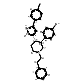 Cc1ccc(-c2cc([C@H]3CCN(CCc4ccccc4)C[C@@H]3c3ccc(F)cc3)n[nH]2)cc1